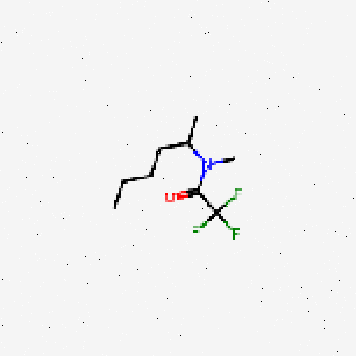 CCCCC(C)N(C)C(=O)C(F)(F)F